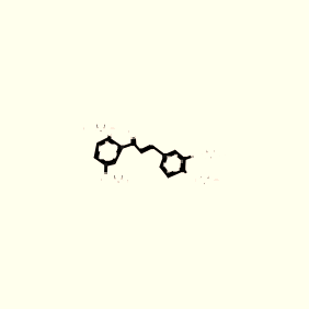 COc1ccc(OC)c(C(=O)C=Cc2ccc(OC)c(OC)c2)c1